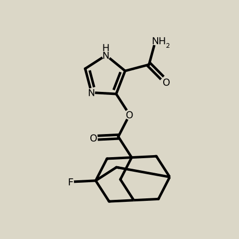 NC(=O)c1[nH]cnc1OC(=O)C12CC3CC(CC(F)(C3)C1)C2